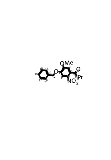 COc1cc(C(=O)C(C)C)c([N+](=O)[O-])cc1OCc1ccccc1